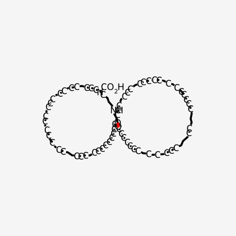 O=C(O)N1CCCCCCCCCCCCCCCCCCCCCCCCCCCCCCCCCCCCCCCC2(CCCCCCCCCCCCCCCCCCCCCCCCCCCCCCCCCCCCCCCCCCCCCC23OCCO3)CNCCCC1